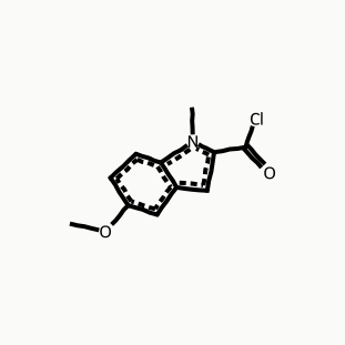 COc1ccc2c(c1)cc(C(=O)Cl)n2C